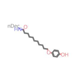 CCCCCCCCCCNC(=O)CCCCCCCCCCOc1ccc(O)cc1